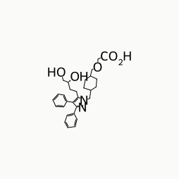 O=C(O)COCC1CCC(Cn2nc(-c3ccccc3)c(-c3ccccc3)c2CC[C@H](O)CO)CC1